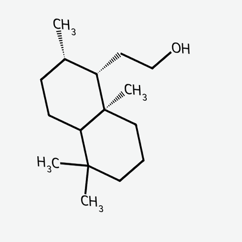 C[C@H]1CCC2C(C)(C)CCC[C@]2(C)[C@H]1CCO